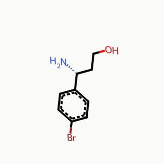 N[C@H](CCO)c1ccc(Br)cc1